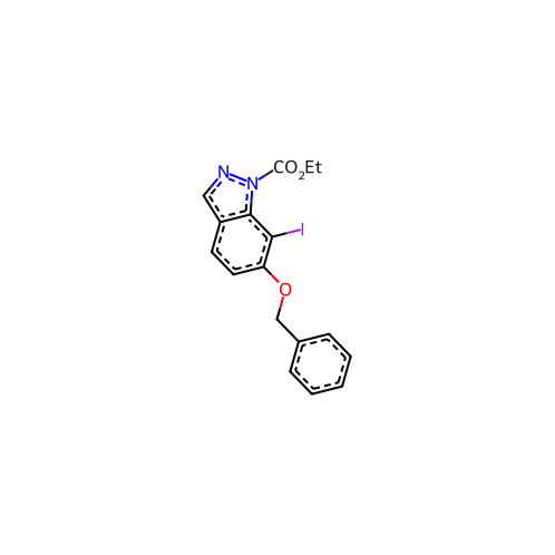 CCOC(=O)n1ncc2ccc(OCc3ccccc3)c(I)c21